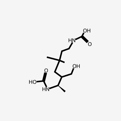 C[C@@H](NC(=O)O)C(CO)CC(C)(C)CCNC(=O)O